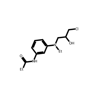 CCC(=O)Nc1cccc(N(CC)CC(O)CCl)c1